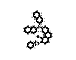 N=C1/C(=N\Nc2ccccc2)C=Cc2ccc3ccc(N(c4ccc5ccccc5c4)c4ccc5ccccc5c4)cc3c21